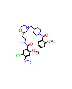 CCOc1cc(N)c(Cl)cc1C(=O)NCCC1CN(CC2CCN(C(=O)c3ccccc3OC(C)=O)CC2)CCO1